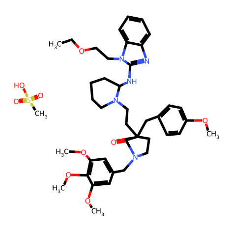 CCOCCn1c(NC2CCCCN2CCC2(Cc3ccc(OC)cc3)CCN(Cc3cc(OC)c(OC)c(OC)c3)C2=O)nc2ccccc21.CS(=O)(=O)O